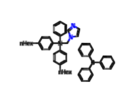 CCCCCCc1ccc([Si](Cn2ccnc2)(c2ccccc2)c2ccc(CCCCCC)cc2)cc1.c1ccc(B(c2ccccc2)c2ccccc2)cc1